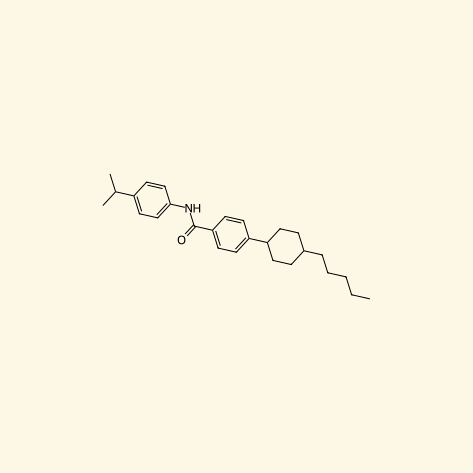 CCCCCC1CCC(c2ccc(C(=O)Nc3ccc(C(C)C)cc3)cc2)CC1